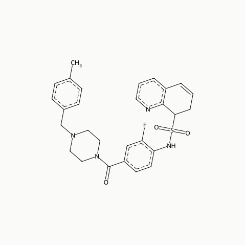 Cc1ccc(CN2CCN(C(=O)c3ccc(NS(=O)(=O)C4CC=Cc5cccnc54)c(F)c3)CC2)cc1